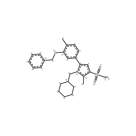 Cc1ccc(-c2cc(S(N)(=O)=O)c(C)n2CC2CCCCC2)cc1OCc1ccccc1